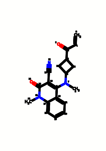 C=CC(=O)C1CC(N(C)c2c(C#N)c(=O)n(C)c3ccccc23)C1